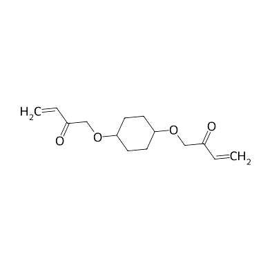 C=CC(=O)COC1CCC(OCC(=O)C=C)CC1